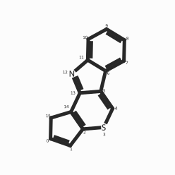 C1=Cc2scc3c4ccccc4nc-3c2C1